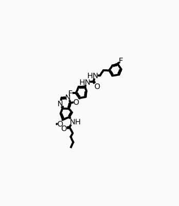 CCCCC(=O)Nc1cc2c(Oc3ccc(NC(=O)NCCc4cccc(F)c4)cc3F)ncnc2cc1OC